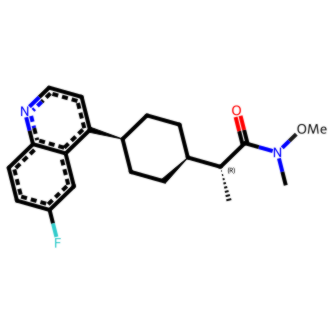 CON(C)C(=O)[C@H](C)[C@H]1CC[C@@H](c2ccnc3ccc(F)cc32)CC1